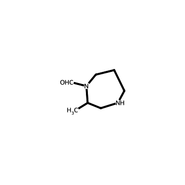 CC1CNCCCN1C=O